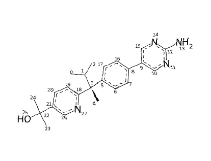 CC(C)[C@](C)(c1ccc(-c2cnc(N)nc2)cc1)c1ccc(C(C)(C)O)cn1